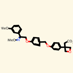 CON=C(COc1ccc(COc2ccc(C3(CC(=O)O)COC3)cc2)cc1)c1cccc(OC)c1